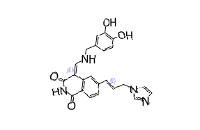 O=C1NC(=O)c2ccc(/C=C/Cn3ccnc3)cc2/C1=C\NCc1ccc(O)c(O)c1